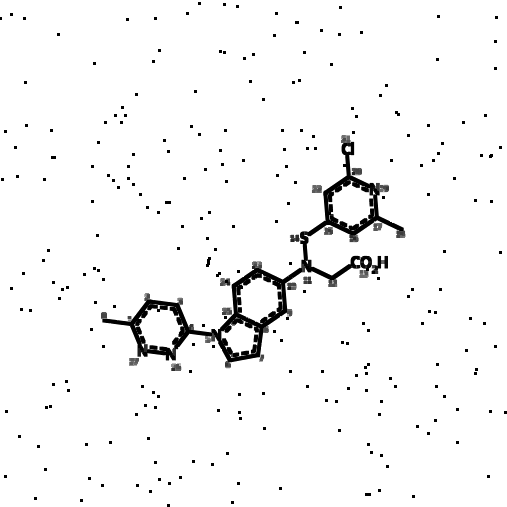 Cc1ccc(-n2ccc3cc(N(CC(=O)O)Sc4cc(C)nc(Cl)c4)ccc32)nn1